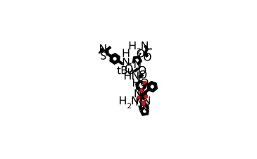 Cc1ncsc1-c1ccc(CNC(=O)[C@@H]2C[C@@H](OC(=O)[C@H](C)N)CN2C(=O)[C@@H](NC(=O)[C@H]2CC[C@H](c3cnc(N4C5CCC4CN(c4cc(-c6ccccc6O)nnc4N)C5)nc3)CC2)C(C)(C)C)cc1